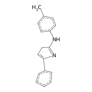 Cc1ccc(NC2=NC(c3ccccc3)=CC2)cc1